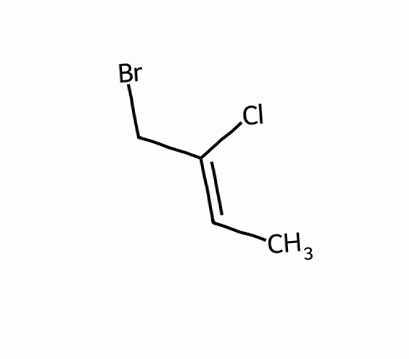 CC=C(Cl)CBr